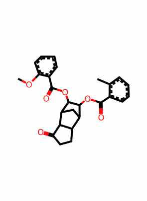 COc1ccccc1C(=O)OC1C2CC(C3CCC(=O)C32)C1OC(=O)c1ccccc1C